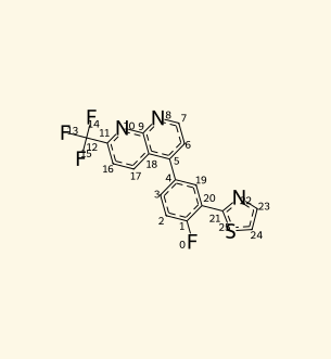 Fc1ccc(-c2ccnc3nc(C(F)(F)F)ccc23)cc1-c1nccs1